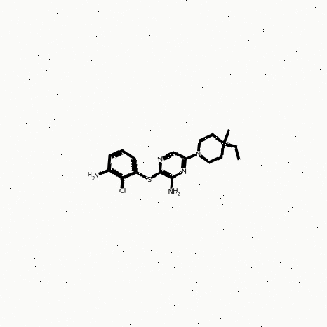 CCC1(C)CCN(c2cnc(Sc3cccc(N)c3Cl)c(N)n2)CC1